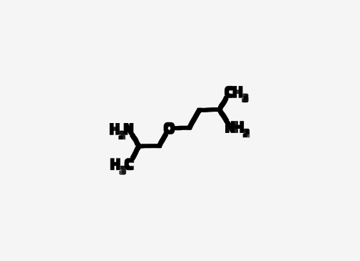 CC(N)CCOCC(C)N